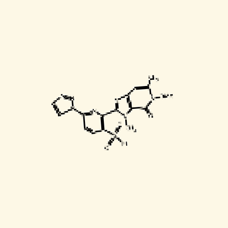 CCS(=O)(=O)c1ccc(-n2ccnn2)nc1-c1nc2cc(C(F)(F)F)n(OC)c(=O)c2n1C